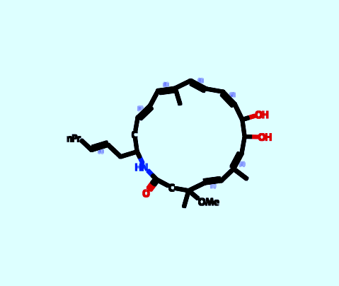 CCC/C=C/CC1C/C=C/C=C(C)/C=C/C=C\C(O)C(O)/C=C(C)\C=C\C(C)(OC)CC(=O)N1